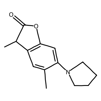 Cc1cc2c(cc1N1CCCC1)OC(=O)C2C